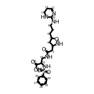 O=C(CC1CC(CCCNC2N=CCCN2)ON1)NCC(NS(=O)(=O)c1ccccc1)C(=O)O